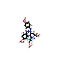 COCC(F)(F)c1cc(N(Cc2ccc(OC)cc2)Cc2ccc(OC)cc2)cc(Br)n1